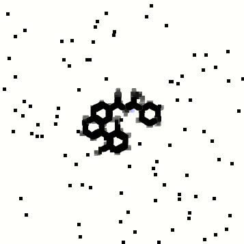 N/C(=N\C(=O)c1ccc2c(c1)C(c1c(F)cccc1F)=CCO2)N1CCOCC1